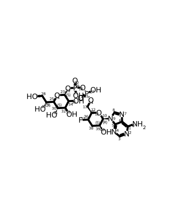 Nc1ncnc2c1ncn2[C@@H]1O[C@H](COP(=O)(O)OP(=O)(O)O[C@@H]2OC([C@H](O)CO)[C@@H](O)C(O)C2O)C(F)C[C@@H]1O